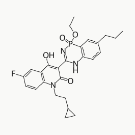 CCCc1ccc2c(c1)P(=O)(OCC)N=C(c1c(O)c3cc(F)ccc3n(CCC3CC3)c1=O)N2